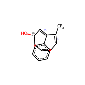 O[C@@H]1/C=C(c2ccccc2)/C(C(F)(F)F)=C\C=C/C1